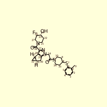 Cc1ccccc1SC1CCN(C(=O)Cn2nc(C(=O)N3CC[C@@H](O)[C@@H](F)C3)c3c2C[C@H]2C[C@@H]32)CC1